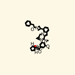 COc1cc(C(=O)N2C[C@H]3CC[C@@H]2[C@@H]3N)cc2nc(-c3cc4cccc(C5CN(C(=O)Cc6ccccc6)C5)c4n3CC3CC3)n(C)c12